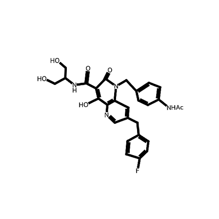 CC(=O)Nc1ccc(Cn2c(=O)c(C(=O)NC(CO)CO)c(O)c3ncc(Cc4ccc(F)cc4)cc32)cc1